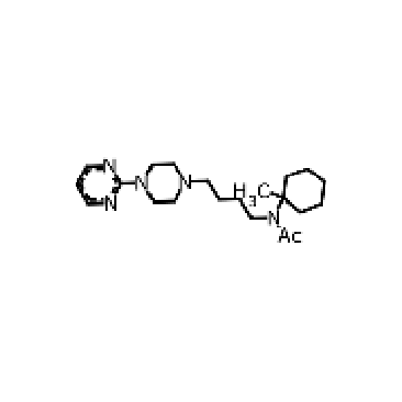 CC(=O)N(CCCCN1CCN(c2ncccn2)CC1)C1(C)CCCCC1